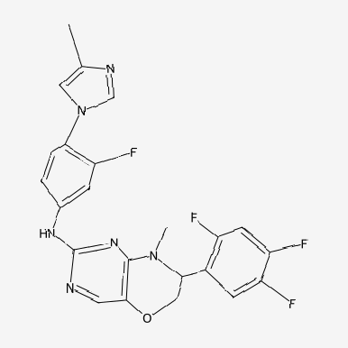 Cc1cn(-c2ccc(Nc3ncc4c(n3)N(C)C(c3cc(F)c(F)cc3F)CO4)cc2F)cn1